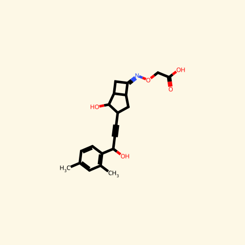 Cc1ccc(C(O)C#CC2CC3C(=NOCC(=O)O)CC3C2O)c(C)c1